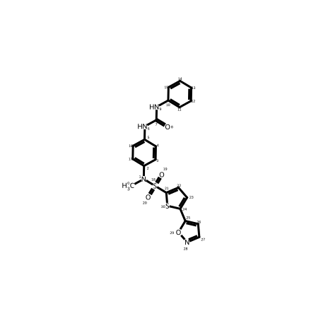 CN(c1ccc(NC(=O)Nc2ccccc2)cc1)S(=O)(=O)c1ccc(-c2ccno2)s1